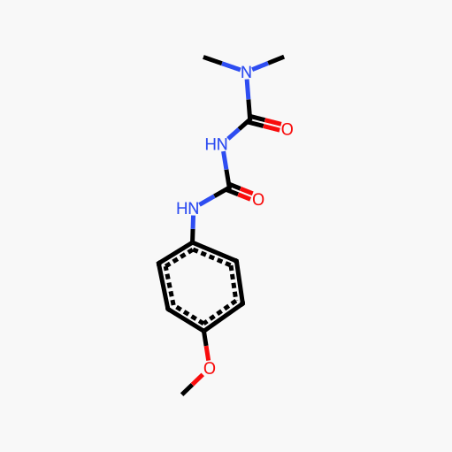 COc1ccc(NC(=O)NC(=O)N(C)C)cc1